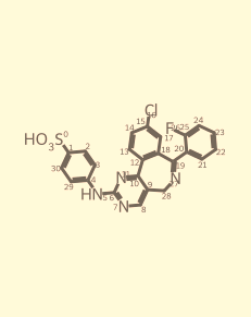 O=S(=O)(O)c1ccc(Nc2ncc3c(n2)-c2ccc(Cl)cc2C(c2ccccc2F)=NC3)cc1